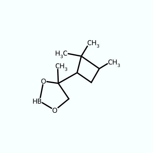 CC1CC(C2(C)COBO2)C1(C)C